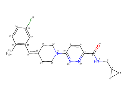 O=C(NCC1CC1)c1ccc(N2CCC(=Cc3cc(F)ccc3C(F)(F)F)CC2)nn1